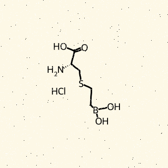 Cl.N[C@@H](CSCCB(O)O)C(=O)O